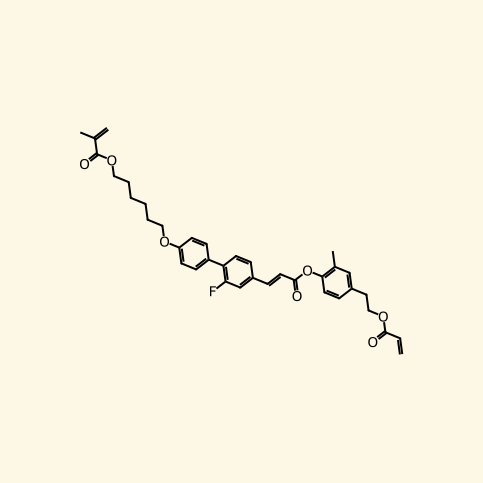 C=CC(=O)OCCc1ccc(OC(=O)/C=C/c2ccc(-c3ccc(OCCCCCCOC(=O)C(=C)C)cc3)c(F)c2)c(C)c1